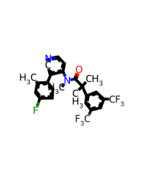 Cc1cc(F)ccc1-c1cnccc1N(C)C(=O)C(C)(C)c1cc(C(F)(F)F)cc(C(F)(F)F)c1